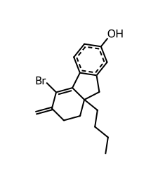 C=C1CCC2(CCCC)Cc3cc(O)ccc3C2=C1Br